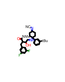 CNC(=O)C(Cc1cc(F)cc(F)c1)C(O)CNC1(c2cccc(C(C)(C)C)c2)CCC(=NC#N)CC1